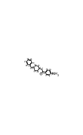 Nc1ccc(C(=O)CC2CCN(Cc3ccccc3)CC2)cc1